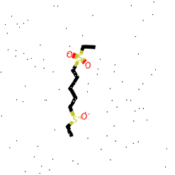 CC[S+]([O-])CCCCCS(=O)(=O)CC